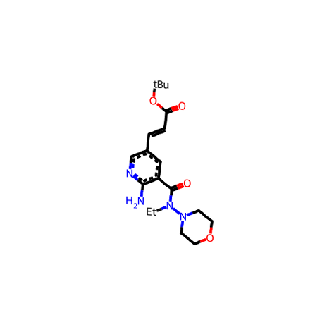 CCN(C(=O)c1cc(C=CC(=O)OC(C)(C)C)cnc1N)N1CCOCC1